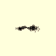 Cc1c(OCCCCOc2ccc(-c3nn[nH]n3)cc2)ccc(C(=O)C(C)C)c1O